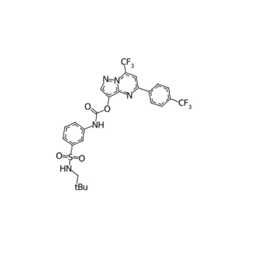 CC(C)(C)CNS(=O)(=O)c1cccc(NC(=O)Oc2cnn3c(C(F)(F)F)cc(-c4ccc(C(F)(F)F)cc4)nc23)c1